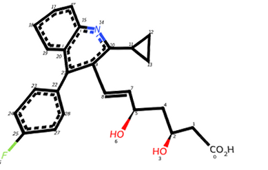 O=C(O)C[C@@H](O)C[C@@H](O)/C=C/c1c(C2CC2)nc2ccccc2c1-c1ccc(F)cc1